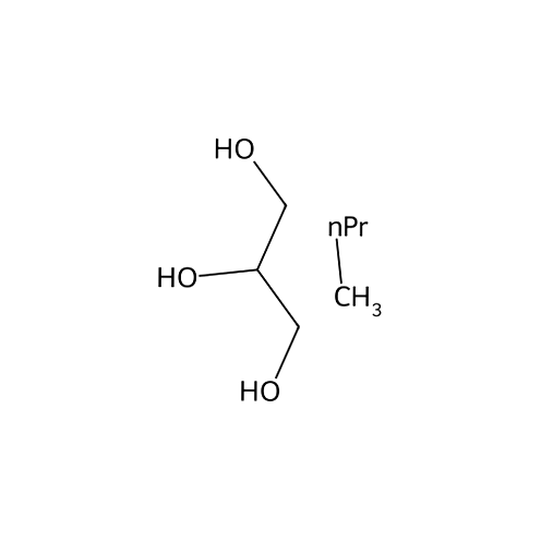 CCCC.OCC(O)CO